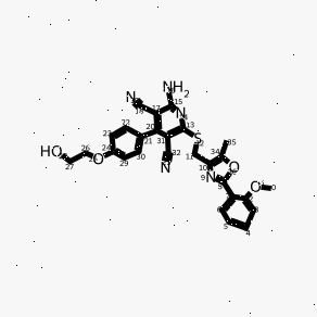 COc1ccccc1-c1nc(CSc2nc(N)c(C#N)c(-c3ccc(OCCO)cc3)c2C#N)c(C)o1